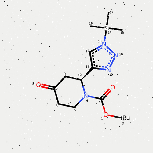 CC(C)(C)OC(=O)N1CCC(=O)C[C@H]1c1cn([Si](C)(C)C)nn1